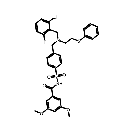 COc1cc(OC)cc(C(=O)NS(=O)(=O)c2ccc(CN(CCSc3ccccc3)Cc3c(F)cccc3Cl)cc2)c1